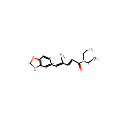 CCN(CC)C(=O)/C=C/C(C)=C/c1ccc2c(c1)OCO2